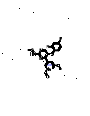 CO/C(C)=C/C(=C\N(C)C=O)c1nc(NSC)ncc1Oc1ccc(F)cc1F